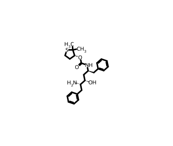 CC1(C)SCC[C@H]1OC(=O)N[C@@H](Cc1ccccc1)C[C@H](O)[C@@H](N)Cc1ccccc1